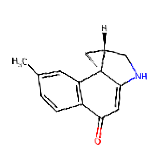 Cc1ccc2c(c1)[C@@]13C[C@@H]1CNC3=CC2=O